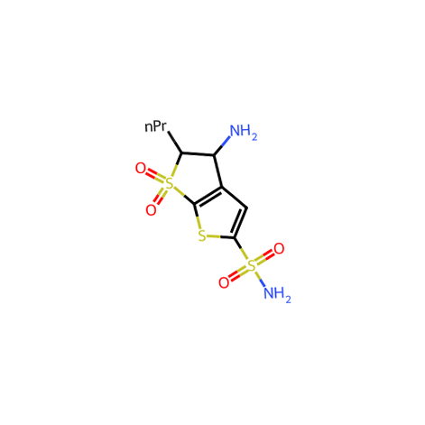 CCCC1C(N)c2cc(S(N)(=O)=O)sc2S1(=O)=O